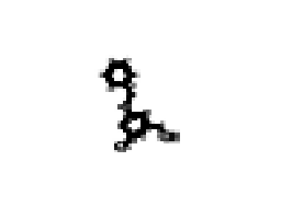 OCc1cc(Cl)cc(OCc2ccccc2)c1